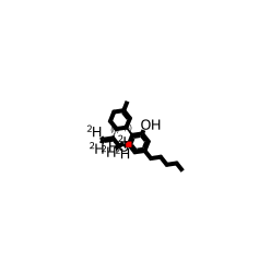 [2H]C([2H])=C([C@@H]1CCC(C)=C[C@H]1c1c(O)cc(CCCCC)cc1O)C([2H])([2H])[2H]